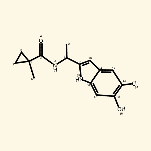 CC(NC(=O)C1(C)CC1)c1cc2cc(Cl)c(O)cc2[nH]1